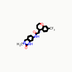 CN1Cc2ccc(NC(=O)/C=C3\CCCOc4cc(C(F)(F)F)ccc43)cc2NC1=O